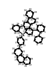 c1ccc(-c2ccccc2-c2ccc(N(c3ccc(-c4ccc5ccc6ccccc6c5c4)cc3)c3ccccc3-c3ccc4ccc5ccccc5c4c3)cc2)cc1